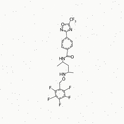 CC(CC(C)NC(=O)c1ccc(-c2noc(C(F)(F)F)n2)cc1)NOCc1c(F)c(F)c(F)c(F)c1F